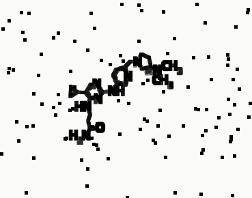 CN(C)[C@@H]1CCN(Cc2ccc(Nc3ncc(C4CC4)c(NCCC(N)=O)n3)cn2)C1